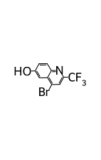 Oc1ccc2nc(C(F)(F)F)cc(Br)c2c1